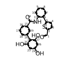 O=Cc1ccc(-c2ccccc2NC(=O)c2cccc(-c3c(O)cc(O)cc3O)c2)s1